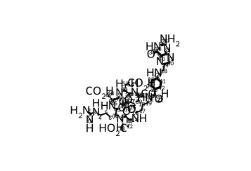 N=C(N)NCCC[C@@H](NC(=O)[C@@H](CC(=O)O)NC(=O)CCCNC(=O)c1ccc(NCc2cnc3nc(N)[nH]c(=O)c3n2)cc1)C(=O)N[C@@H](CC(=O)O)C(=O)N[C@@H](CC(=O)O)C(=O)N[C@@H](CS)C(=O)O